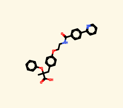 CC(Cc1ccc(OCCNC(=O)c2ccc(-c3ccccn3)cc2)cc1)(Oc1ccccc1)C(=O)O